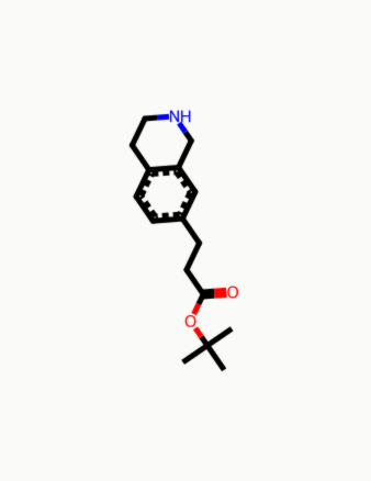 CC(C)(C)OC(=O)CCc1ccc2c(c1)CNCC2